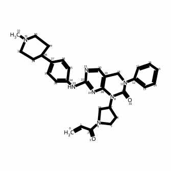 C=CC(=O)N1CCC(N2C(=O)N(c3ccccc3)Cc3cnc(Nc4ccc(C5CCN(C)CC5)cc4)nc32)C1